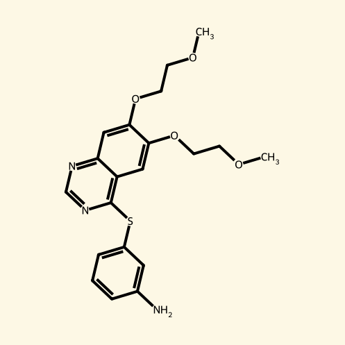 COCCOc1cc2ncnc(Sc3cccc(N)c3)c2cc1OCCOC